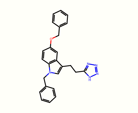 c1ccc(COc2ccc3c(c2)c(CCc2nnn[nH]2)cn3Cc2ccccc2)cc1